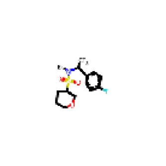 CCN(C(c1ccc(F)cc1)C(F)(F)F)S(=O)(=O)C1CCCOC1